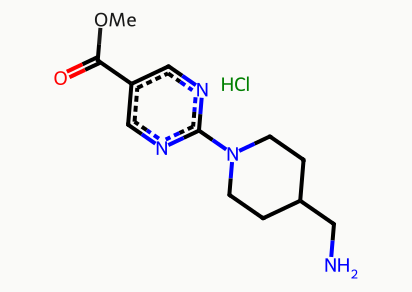 COC(=O)c1cnc(N2CCC(CN)CC2)nc1.Cl